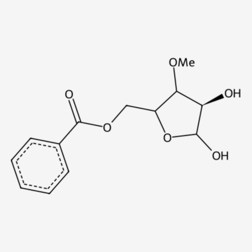 COC1C(COC(=O)c2ccccc2)OC(O)[C@@H]1O